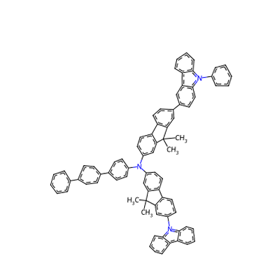 CC1(C)c2cc(-c3ccc4c(c3)c3ccccc3n4-c3ccccc3)ccc2-c2ccc(N(c3ccc(-c4ccc(-c5ccccc5)cc4)cc3)c3ccc4c(c3)C(C)(C)c3cc(-n5c6ccccc6c6ccccc65)ccc3-4)cc21